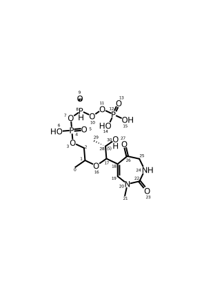 CC(COP(=O)(O)O[PH](=O)OOP(=O)(O)O)OC(C1=CN(C)C(=O)NCC1=O)[C@H](C)O